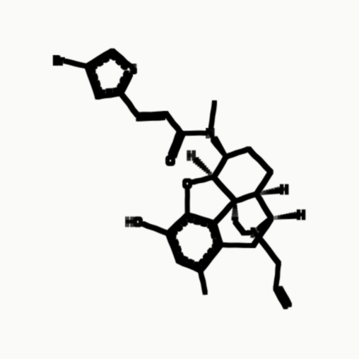 C=CCN1CC[C@]23c4c5c(C)cc(O)c4O[C@H]2[C@@H](N(C)C(=O)/C=C/c2cc(Br)cs2)CC[C@H]3[C@H]1C5